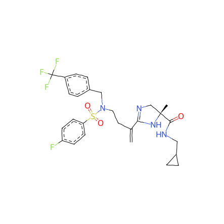 C=C(CCN(Cc1ccc(C(F)(F)F)cc1)S(=O)(=O)c1ccc(F)cc1)C1=NC[C@](C)(C(=O)NCC2CC2)N1